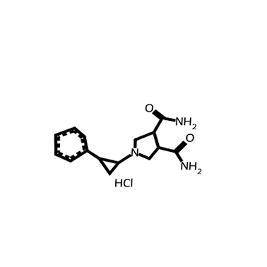 Cl.NC(=O)C1CN(C2CC2c2ccccc2)CC1C(N)=O